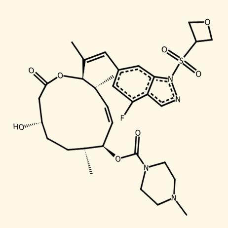 C/C(=C/c1cc(F)c2cnn(S(=O)(=O)C3COC3)c2c1)[C@@H]1OC(=O)C[C@@H](O)CC[C@@H](C)[C@H](OC(=O)N2CCN(C)CC2)/C=C\[C@H]1C